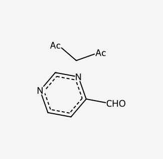 CC(=O)CC(C)=O.O=Cc1ccncn1